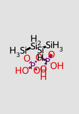 O=P(O)(O)OP(=O)(O)O.[SiH3][SiH2][SiH2][SiH3]